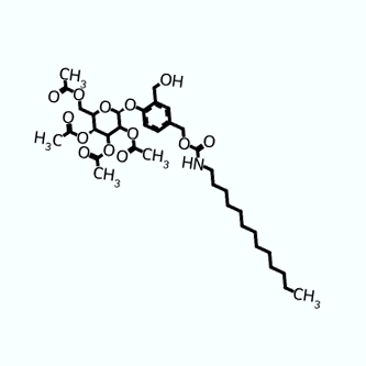 CCCCCCCCCCCCCNC(=O)OCc1ccc(O[C@@H]2OC(COC(C)=O)[C@H](OC(C)=O)C(OC(C)=O)C2OC(C)=O)c(CO)c1